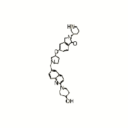 O=C1c2ccc(O[C@H]3CCN(Cc4ccc5nc(N6CCC(O)CC6)ccc5c4)C3)cc2CN1C1CCCNC1